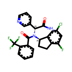 NC(=O)[C@@H](c1cccnc1)N(C(=O)c1ccccc1C(F)(F)F)[C@@H]1CCc2c(F)cc(Cl)cc21